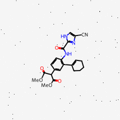 COC(=O)C(C(=O)OC)c1ccc(NC(=O)c2nc(C#N)c[nH]2)c(C2=CCCCC2)c1